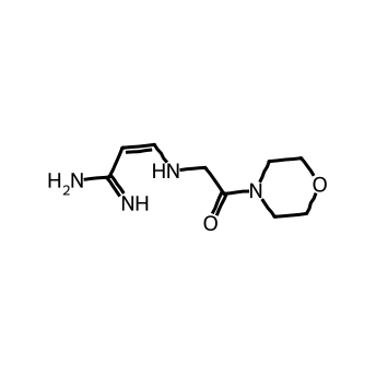 N=C(N)/C=C\NCC(=O)N1CCOCC1